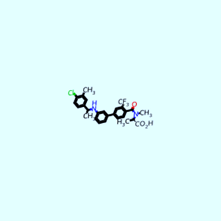 Cc1cc(C(C)Nc2cccc(-c3ccc(C(=O)N(C)[C@@H](C)C(=O)O)c(C(F)(F)F)c3)c2)ccc1Cl